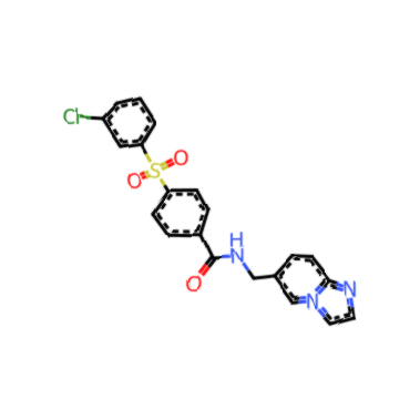 O=C(NCc1ccc2nccn2c1)c1ccc(S(=O)(=O)c2cccc(Cl)c2)cc1